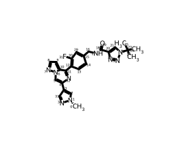 Cn1cc(-c2cn3nccc3c(-c3ccc(CNC(=O)c4cn(C(C)(C)C)nn4)cc3F)n2)cn1